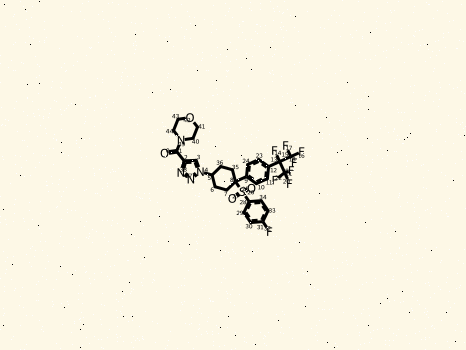 O=C(c1cn(C2CCC(c3ccc(C(F)(C(F)(F)F)C(F)(F)F)cc3)(S(=O)(=O)c3ccc(F)cc3)CC2)nn1)N1CCOCC1